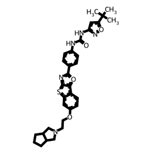 CC(C)(C)c1cc(NC(=O)Nc2ccc(-c3nc4sc5cc(OCCN6CC7CCCC7C6)ccc5c4o3)cc2)no1